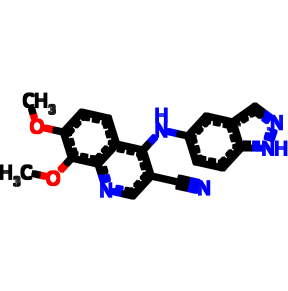 COc1ccc2c(Nc3ccc4[nH]ncc4c3)c(C#N)cnc2c1OC